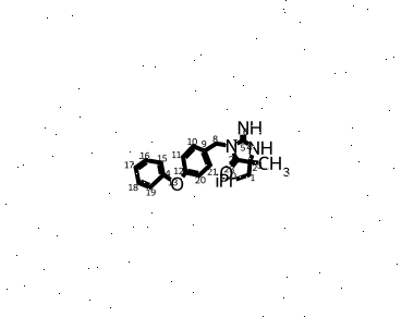 CC(C)CC1(C)NC(=N)N(Cc2ccc(Oc3ccccc3)cc2)C1=O